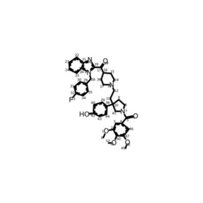 COc1cc(C(=O)N2CCC(CCN3CCC(C(=O)c4nc5ccccc5n4Cc4ccc(F)cc4)CC3)(c3ccc(O)cc3)C2)cc(OC)c1OC